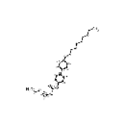 CCCCCCCCCOc1ncc(-c2ccc(OC(=O)O[C@H]3O[C@@H]3CCC)cc2)cn1